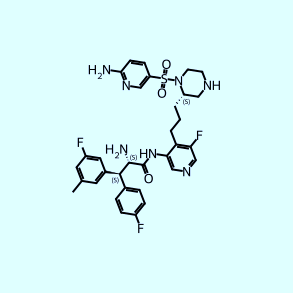 Cc1cc(F)cc([C@H](c2ccc(F)cc2)[C@H](N)C(=O)Nc2cncc(F)c2CCC[C@H]2CNCCN2S(=O)(=O)c2ccc(N)nc2)c1